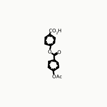 CC(=O)Oc1ccc(C(=O)Oc2ccc(C(=O)O)cc2)cc1